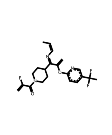 C=C(F)C(=O)N1CCC(/C(=N/C=C\C)C(=C)Oc2ccc(C(C)(F)F)cn2)CC1